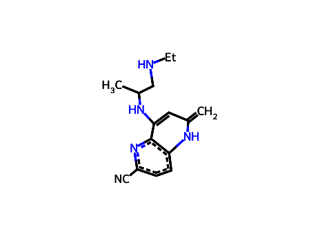 C=C1C=C(NC(C)CNCC)c2nc(C#N)ccc2N1